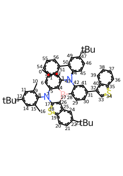 Cc1cc2c3c(c1)N(c1c(C)cc(C(C)(C)C)cc1C)c1sc4ccc(C(C)(C)C)cc4c1B3c1ccc(-c3csc4ccccc34)cc1N2c1ccc(C(C)(C)C)cc1-c1ccccc1